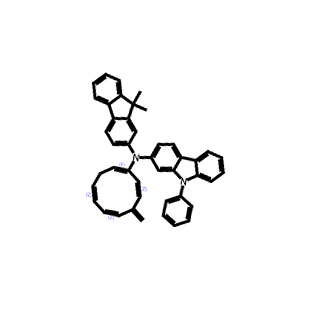 C=C1/C=C\C=C/C/C=C(N(c2ccc3c(c2)C(C)(C)c2ccccc2-3)c2ccc3c4ccccc4n(-c4ccccc4)c3c2)\C=C/1